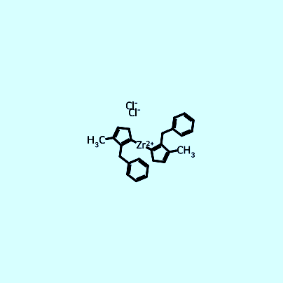 CC1=CC[C]([Zr+2][C]2=C(Cc3ccccc3)C(C)=CC2)=C1Cc1ccccc1.[Cl-].[Cl-]